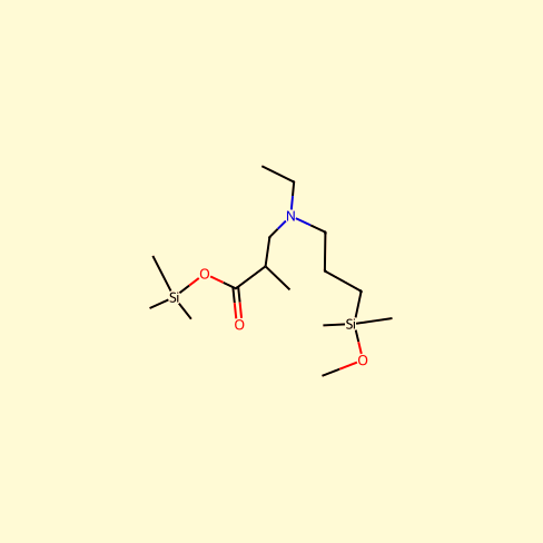 CCN(CCC[Si](C)(C)OC)CC(C)C(=O)O[Si](C)(C)C